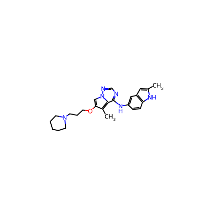 Cc1cc2cc(Nc3ncnn4cc(OCCCN5CCCCC5)c(C)c34)ccc2[nH]1